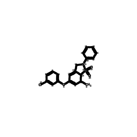 CC1C=C(Oc2cccc(Cl)c2)C=C2CN(c3ccccc3)S(=O)(=O)C21